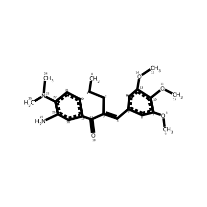 CCC/C(=C\c1cc(OC)c(OC)c(OC)c1)C(=O)c1ccc(N(C)C)c(N)c1